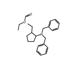 CCC1CCCC1N(Cc1ccccc1)Cc1ccccc1.CCOC=O